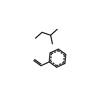 C=Cc1ccccc1.CCC(C)C